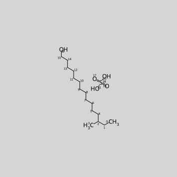 CCC(C)CCCCCCCCCCCCO.O=S(=O)(O)O